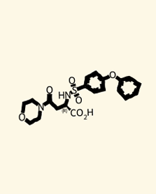 O=C(O)[C@@H](CC(=O)N1CCOCC1)NS(=O)(=O)c1ccc(Oc2ccccc2)cc1